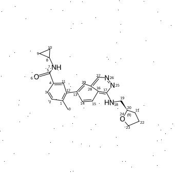 Cc1ccc(C(=O)NC2CC2)cc1-c1ccc2c(NC[C@H]3CCCO3)nncc2c1